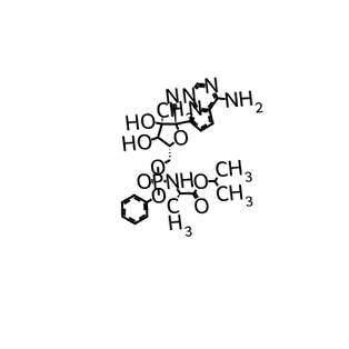 CC(C)OC(=O)[C@H](C)NP(=O)(OC[C@H]1O[C@@](C#N)(c2ccc3c(N)ncnn23)[C@](C)(O)C1O)Oc1ccccc1